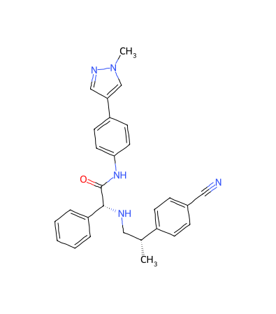 C[C@H](CN[C@@H](C(=O)Nc1ccc(-c2cnn(C)c2)cc1)c1ccccc1)c1ccc(C#N)cc1